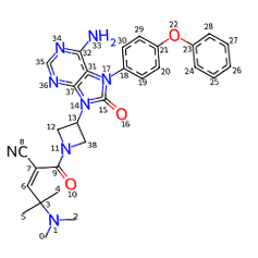 CN(C)C(C)(C)/C=C(/C#N)C(=O)N1CC(n2c(=O)n(-c3ccc(Oc4ccccc4)cc3)c3c(N)ncnc32)C1